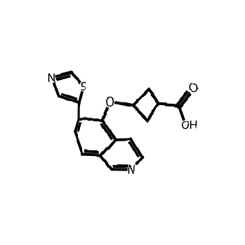 O=C(O)C1CC(Oc2c(-c3cncs3)ccc3cnccc23)C1